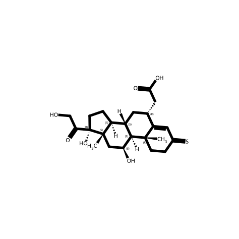 C[C@]12CCC(=S)C=C1[C@@H](CC(=O)O)C[C@@H]1[C@@H]2[C@@H](O)C[C@@]2(C)[C@H]1CC[C@]2(O)C(=O)CO